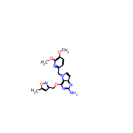 COc1ccc(Cn2ccc3nc(N)nc(OCc4cc(C)on4)c32)nc1OC